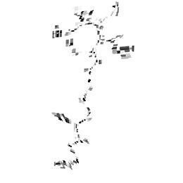 NCCNC(=O)CCCCCN1C[C@H](O)[C@@H](O)[C@H](O)[C@H]1CO